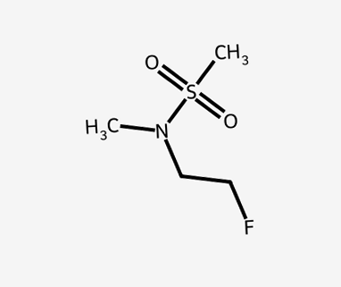 CN(CCF)S(C)(=O)=O